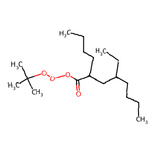 CCCCC(CC)CC(CCCC)C(=O)OOOC(C)(C)C